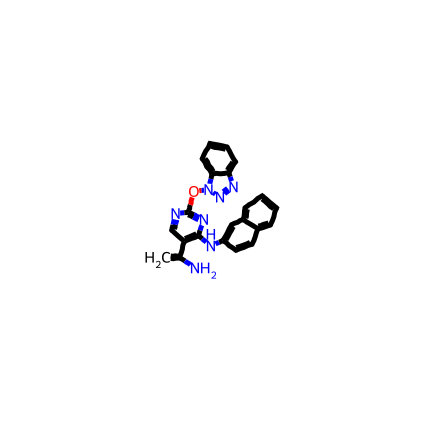 C=C(N)c1cnc(On2nnc3ccccc32)nc1Nc1ccc2ccccc2c1